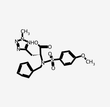 COc1ccc(S(=O)(=O)N(Cc2ccccc2)[C@H](Cc2nnn(C)n2)C(=O)O)cc1